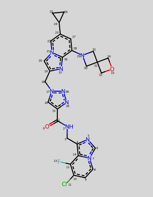 O=C(NCc1ncn2ccc(Cl)c(F)c12)c1cn(Cc2cn3cc(C4CC4)cc(N4CC5(COC5)C4)c3n2)nn1